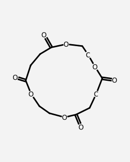 O=C1CCC(=O)OCCOC(=O)CCC(=O)OCCO1